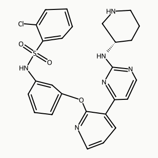 O=S(=O)(Nc1cccc(Oc2ncccc2-c2ccnc(N[C@H]3CCCNC3)n2)c1)c1ccccc1Cl